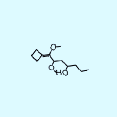 CCCC(O)CC(OC)C(OC)=C1CCC1